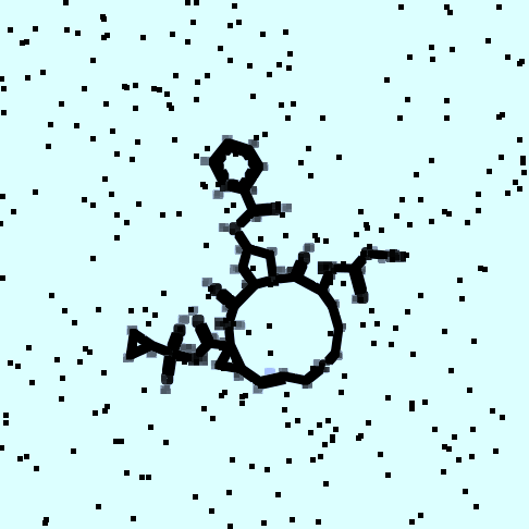 CC(C)(C)OC(=O)NC1CCCCC/C=C/C2CC2(C(=O)NS(=O)(=O)C2CC2)NC(=O)C2CC(OC(=O)c3ccccn3)CN2C1=O